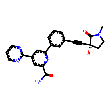 CN1CC[C@@](O)(C#Cc2cccc(-c3cc(-c4ncccn4)cc(C(N)=O)n3)c2)C1=O